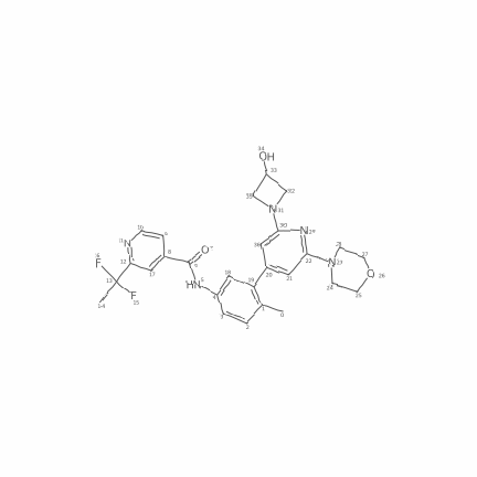 Cc1ccc(NC(=O)c2ccnc(C(C)(F)F)c2)cc1-c1cc(N2CCOCC2)nc(N2CC(O)C2)c1